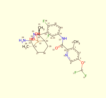 Cc1cc(OC(F)F)cnc1C(=O)Nc1ccc(F)c([C@@]2(C)N=C(N)[C@]3(C)CCC[C@@]2(F)S3(O)O)c1